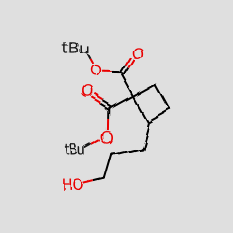 CC(C)(C)OC(=O)C1(C(=O)OC(C)(C)C)CCC1CCCO